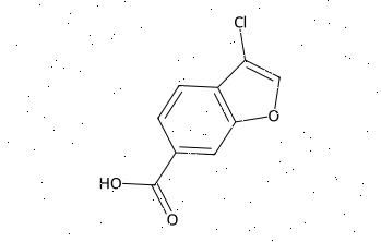 O=C(O)c1ccc2c(Cl)coc2c1